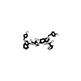 Cc1c(C(=O)Nc2cn(Cc3ccc(Cl)cc3)c3ccccc23)sc[n+]1-c1ccc2c(c1)c(NC(=O)c1ccno1)cn2Cc1ccc(Cl)cc1